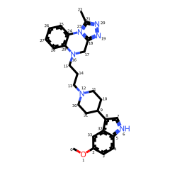 COc1ccc2[nH]cc(C3CCN(CCCN4Cc5nnc(C)n5-c5ccccc54)CC3)c2c1